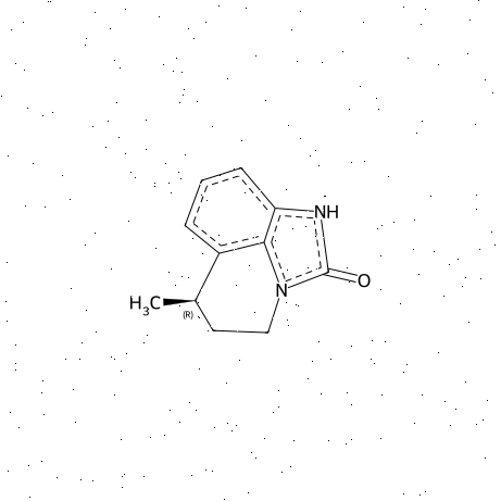 C[C@@H]1CCn2c(=O)[nH]c3cccc1c32